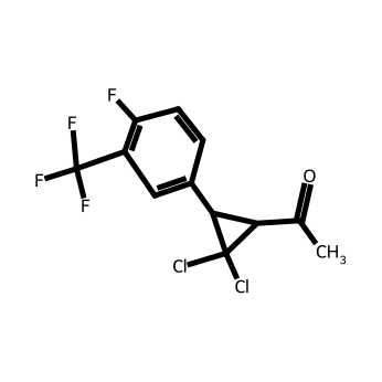 CC(=O)C1C(c2ccc(F)c(C(F)(F)F)c2)C1(Cl)Cl